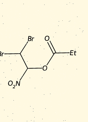 CCC(=O)OC(C(Br)Br)[N+](=O)[O-]